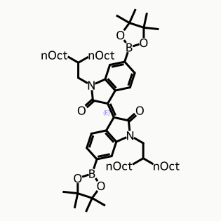 CCCCCCCCC(CCCCCCCC)CN1C(=O)/C(=C2/C(=O)N(CC(CCCCCCCC)CCCCCCCC)c3cc(B4OC(C)(C)C(C)(C)O4)ccc32)c2ccc(B3OC(C)(C)C(C)(C)O3)cc21